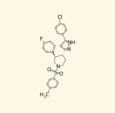 Cc1ccc(S(=O)(=O)N2CC[C@@H](c3cc(-c4ccc(Cl)cc4)[nH]n3)[C@H](c3ccc(F)cc3)C2)cc1